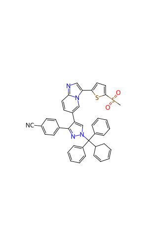 CS(=O)(=O)c1ccc(-c2cnc3ccc(-c4cn(C(c5ccccc5)(c5ccccc5)C5C=CC=CC5)nc4-c4ccc(C#N)cc4)cn23)s1